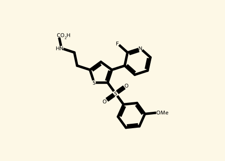 COc1cccc(S(=O)(=O)c2sc(CCNC(=O)O)cc2-c2cccnc2F)c1